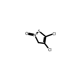 O=[N+]1CC(Cl)=C(Cl)S1